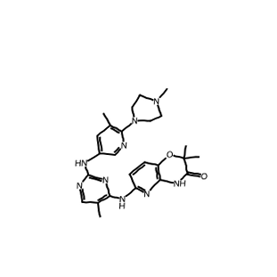 Cc1cnc(Nc2cnc(N3CCN(C)CC3)c(C)c2)nc1Nc1ccc2c(n1)NC(=O)C(C)(C)O2